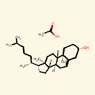 CC(=O)O.CC(C)CCC[C@@H](C)[C@H]1CC[C@H]2[C@@H]3CC=C4C[C@@H](O)CC[C@]4(C)[C@H]3CC[C@]12C